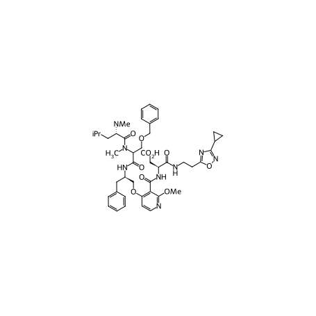 CN[C@@H](CC(C)C)C(=O)N(C)C(COCc1ccccc1)C(=O)N[C@@H](COc1ccnc(OC)c1C(=O)N[C@@H](CC(=O)O)C(=O)NCCc1nc(C2CC2)no1)Cc1ccccc1